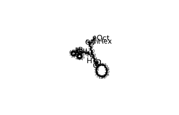 CCCCCCCCC(CCCCCC)COC(=O)CCCCC(CCCCC(=O)OC1CCCCCCCCCCCCCC1)NCCCCO[Si](c1ccccc1)(c1ccccc1)C(C)(C)C